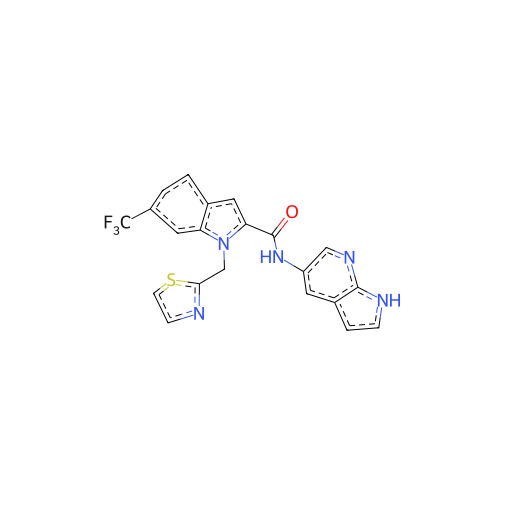 O=C(Nc1cnc2[nH]ccc2c1)c1cc2ccc(C(F)(F)F)cc2n1Cc1nccs1